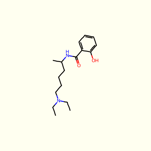 CCN(CC)CCCCC(C)NC(=O)c1ccccc1O